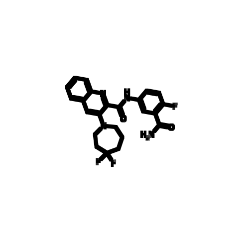 NC(=O)c1cc(NC(=O)c2nc3ccccc3cc2N2CCCC(F)(F)CC2)ccc1F